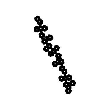 c1ccc2cc(-c3c4ccccc4c(-c4ccc5c6ccc(-c7ccc(-c8c9ccccc9c(-c9ccc%10c%11ccc(-c%12ccc%13cc(-c%14c%15ccccc%15c(-c%15ccc%16c%17ccccc%17n%17c%18ccccc%18c%15c%16%17)c%15ccccc%14%15)ccc%13c%12)c%12c%13ccccc%13n(c%10c9)c%11%12)c9ccccc89)c8ccccc78)c7c8ccccc8n(c5c4)c67)c4ccccc34)ccc2c1